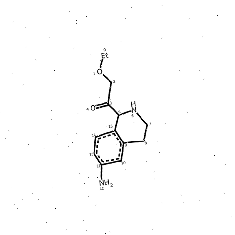 CCOCC(=O)C1NCCc2cc(N)ccc21